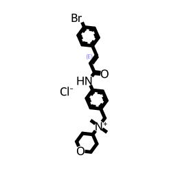 C[N+](C)(Cc1ccc(NC(=O)/C=C/c2ccc(Br)cc2)cc1)C1CCOCC1.[Cl-]